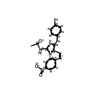 CC(=O)Nc1nc(/C=C\c2ccc([N+](=O)[O-])cc2)c(Cc2ccc(I)cc2)s1